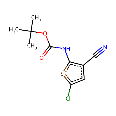 CC(C)(C)OC(=O)Nc1sc(Cl)cc1C#N